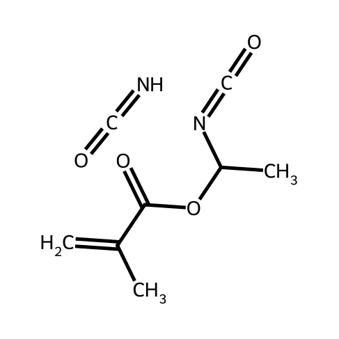 C=C(C)C(=O)OC(C)N=C=O.N=C=O